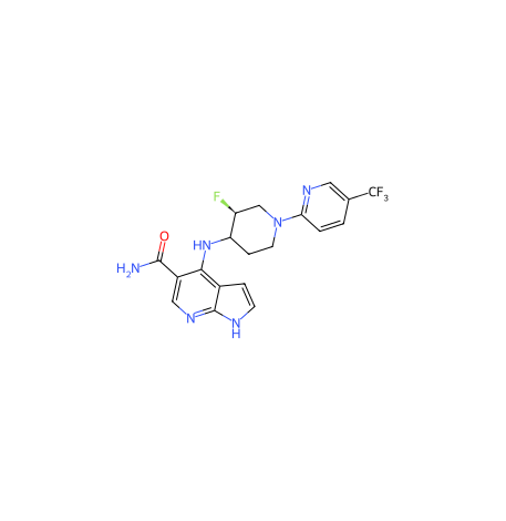 NC(=O)c1cnc2[nH]ccc2c1NC1CCN(c2ccc(C(F)(F)F)cn2)C[C@@H]1F